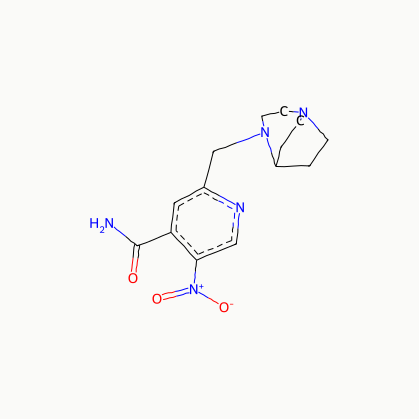 NC(=O)c1cc(CN2CCN3CCC2CC3)ncc1[N+](=O)[O-]